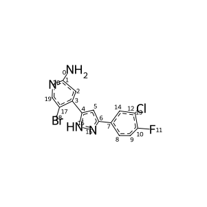 Nc1cc(-c2cc(-c3ccc(F)c(Cl)c3)n[nH]2)c(Br)cn1